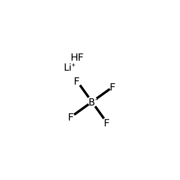 F.F[B-](F)(F)F.[Li+]